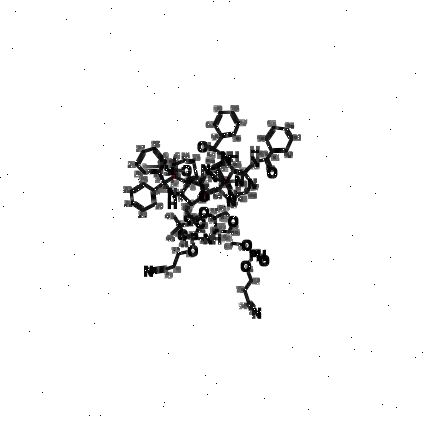 CC(C)(C)[Si](C)(C)O[C@@H]1[C@H](NC(c2ccccc2)(c2ccccc2)c2ccccc2)[C@@H](COP(=O)(N[C@H]2[C@@H](O[Si](C)(C)C(C)(C)C)[C@H](n3cnc4c(NC(=O)c5ccccc5)ncnc43)O[C@@H]2CO[PH](=O)OCCC#N)OCCC#N)O[C@H]1n1cnc2c(NC(=O)c3ccccc3)ncnc21